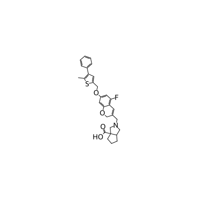 Cc1sc(COc2cc(F)c3c(c2)OCC(CN2CC4CCCC4(C(=O)O)C2)=C3)cc1-c1ccccc1